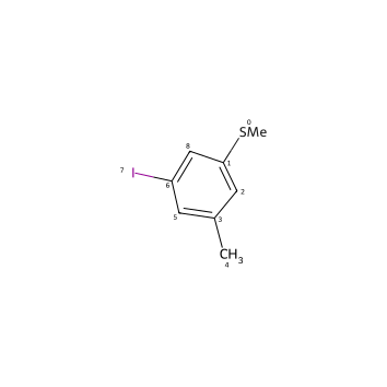 CSc1cc(C)cc(I)c1